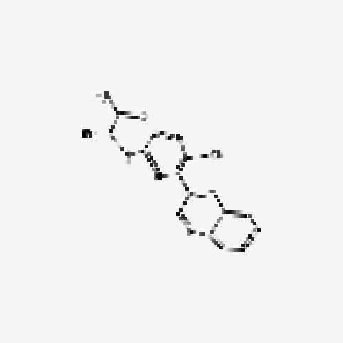 CC(C)C(Nc1cnc(C#N)c(-c2cnc3ccccc3c2)n1)C(N)=O